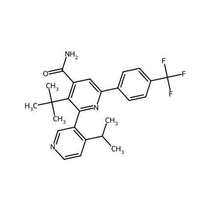 CC(C)c1ccncc1-c1nc(-c2ccc(C(F)(F)F)cc2)cc(C(N)=O)c1C(C)(C)C